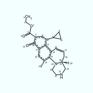 CCOC(=O)c1cn(C2CC2)c2c3c(c(F)cc2c1=O)N1CCNC[C@H]1CC=C3